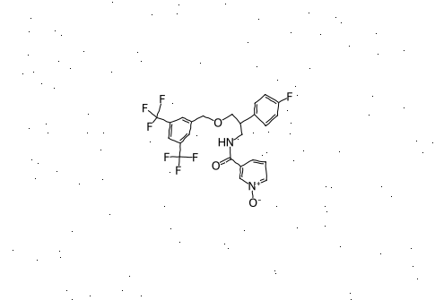 O=C(NCC(COCc1cc(C(F)(F)F)cc(C(F)(F)F)c1)c1ccc(F)cc1)c1ccc[n+]([O-])c1